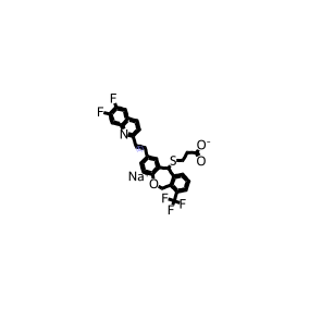 O=C([O-])CCSC1c2cc(/C=C/c3ccc4cc(F)c(F)cc4n3)ccc2OCc2c1cccc2C(F)(F)F.[Na+]